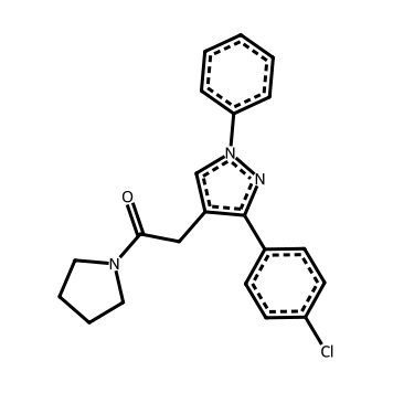 O=C(Cc1cn(-c2ccccc2)nc1-c1ccc(Cl)cc1)N1CCCC1